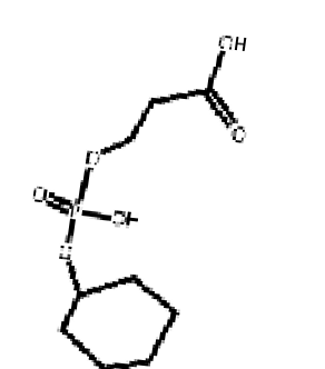 O=C(O)CCOP(=O)(O)OC1CCCCC1